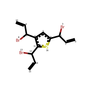 C=CC(Br)c1cc(C(Br)C=C)c(C(Br)C=C)s1